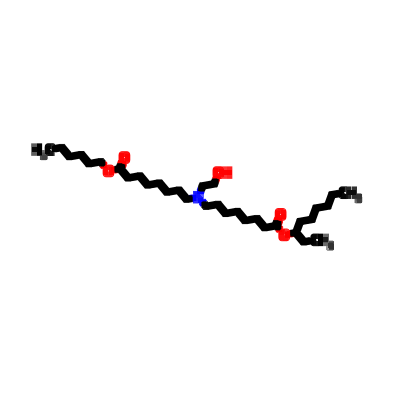 CCCCCCOC(=O)CCCCCCCN(CCO)CCCCCCCC(=O)OC(CC)CCCCCC